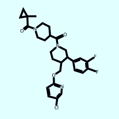 CC1(C(=O)N2CCC(C(=O)N3CCC(COc4ccc(Cl)cn4)C(c4ccc(F)c(F)c4)C3)CC2)CC1